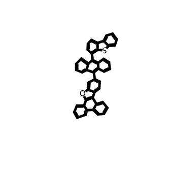 c1ccc2c(c1)sc1c(-c3c4ccccc4c(-c4ccc5c(c4)oc4c6ccccc6c6ccccc6c54)c4ccccc34)cccc12